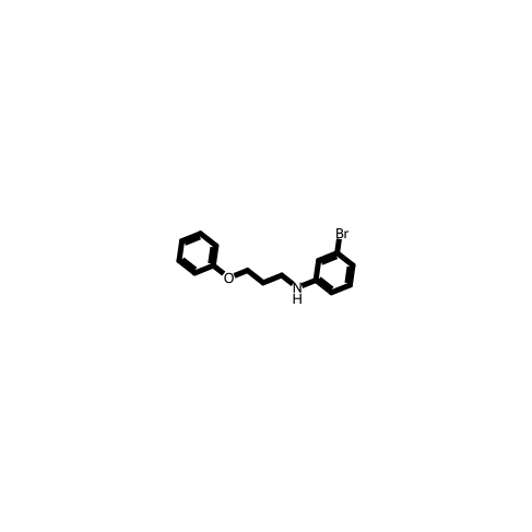 Brc1cccc(NCCCOc2ccccc2)c1